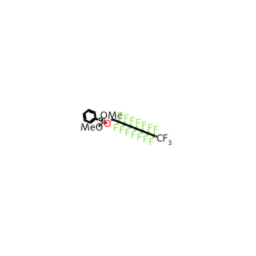 CO[Si](OC)(OCC(F)(F)C(F)(F)C(F)(F)C(F)(F)C(F)(F)C(F)(F)C(F)(F)C(F)(F)F)c1ccccc1